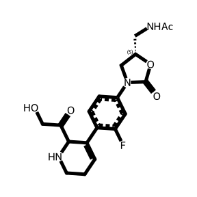 CC(=O)NC[C@H]1CN(c2ccc(C3=CCCNC3C(=O)CO)c(F)c2)C(=O)O1